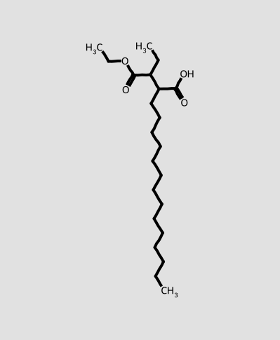 CCCCCCCCCCCCCCC(C(=O)O)C(CC)C(=O)OCC